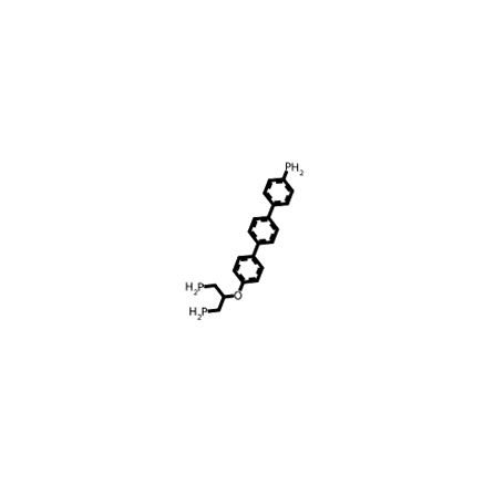 PCC(CP)Oc1ccc(-c2ccc(-c3ccc(P)cc3)cc2)cc1